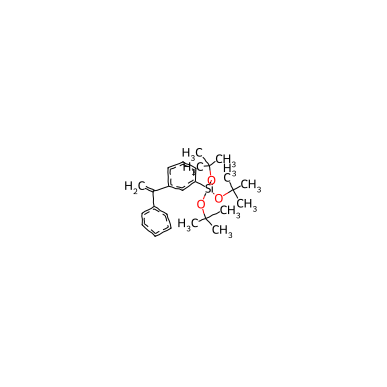 C=C(c1ccccc1)c1cccc([Si](OC(C)(C)C)(OC(C)(C)C)OC(C)(C)C)c1